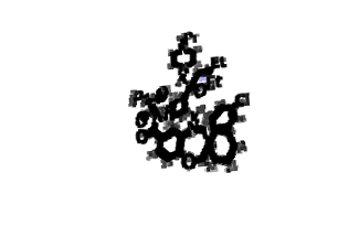 CC/C=C/[C@@](CN1CCN(C(C)C)CC1)(OCC)[C@@H]1CC[C@H]1CN1C[C@@]2(CCCc3cc(Cl)ccc32)COc2ccc(C(=O)NS(=O)(=O)C(C)C)cc21